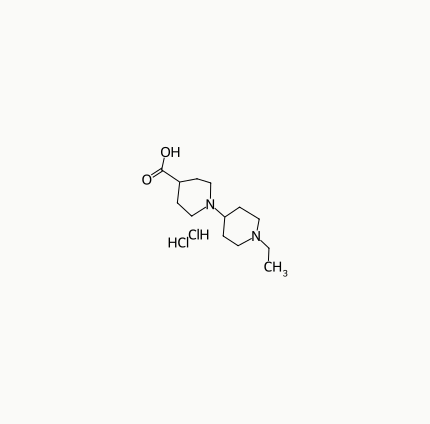 CCN1CCC(N2CCC(C(=O)O)CC2)CC1.Cl.Cl